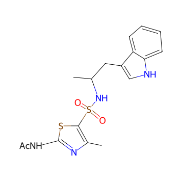 CC(=O)Nc1nc(C)c(S(=O)(=O)NC(C)Cc2c[nH]c3ccccc23)s1